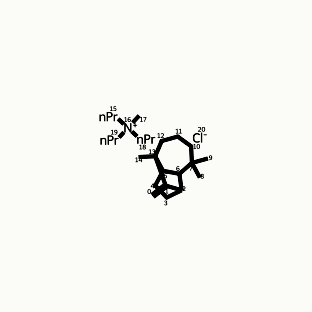 C=C1C2CCC3C2C(C)(C)CCCC13C.CCC[N+](C)(CCC)CCC.[Cl-]